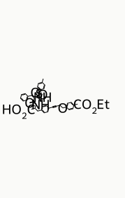 CCOC(=O)c1ccc(OCC#Cc2ccc(CC(NC(=O)C(Cc3ccccc3)NS(=O)(=O)c3ccc(C)cc3)C(=O)O)cc2)cc1